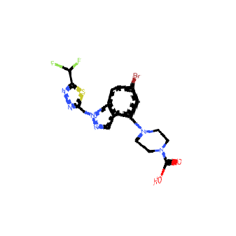 O=C(O)N1CCN(c2cc(Br)cc3c2cnn3-c2nnc(C(F)F)s2)CC1